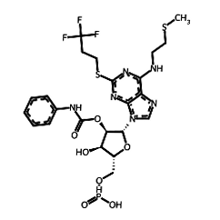 CSCCNc1nc(SCCC(F)(F)F)nc2c1ncn2[C@@H]1O[C@H](CO[PH](=O)O)[C@@H](O)[C@H]1OC(=O)Nc1ccccc1